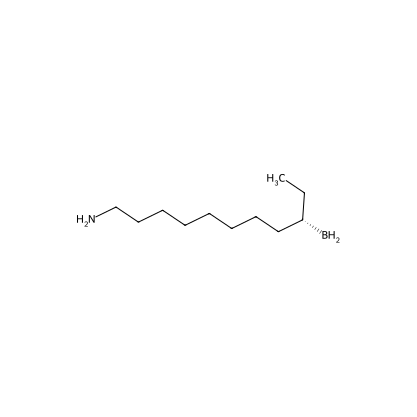 B[C@@H](CC)CCCCCCCCN